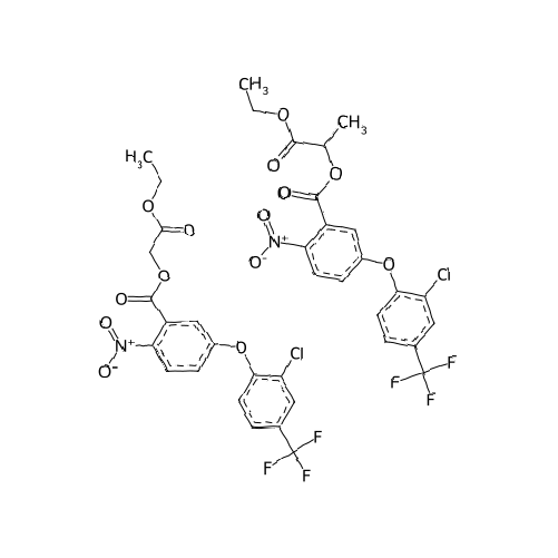 CCOC(=O)C(C)OC(=O)c1cc(Oc2ccc(C(F)(F)F)cc2Cl)ccc1[N+](=O)[O-].CCOC(=O)COC(=O)c1cc(Oc2ccc(C(F)(F)F)cc2Cl)ccc1[N+](=O)[O-]